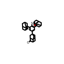 O=C1C2CC3CC1CC(c1cc(C45CC6CC(C4)C(=O)C(C6)C5)c(S(=O)(=O)O)c(C45CC6CC(C4)C(=O)C(C6)C5)c1)(C3)C2